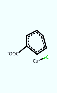 O=C([O-])c1ccccc1.[Cl][Cu+]